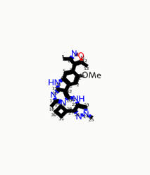 COc1cc2c(cc1-c1c(C)noc1C)[nH]c1nc(C)nc(Nc3cn(C)nc3C3CCC3)c12